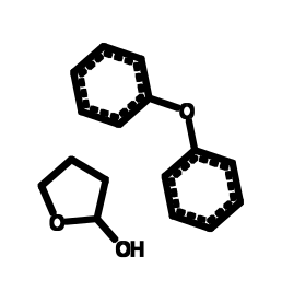 OC1CCCO1.c1ccc(Oc2ccccc2)cc1